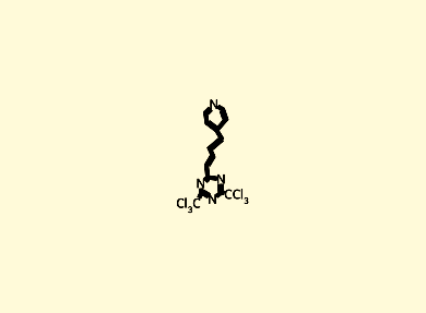 ClC(Cl)(Cl)c1nc(C=CC=Cc2ccncc2)nc(C(Cl)(Cl)Cl)n1